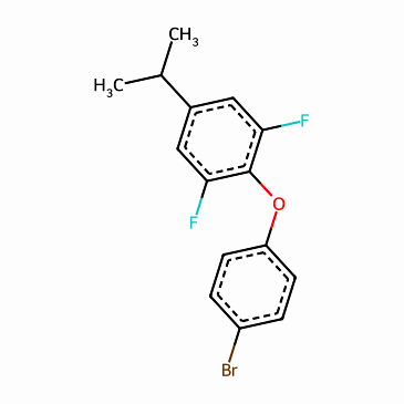 CC(C)c1cc(F)c(Oc2ccc(Br)cc2)c(F)c1